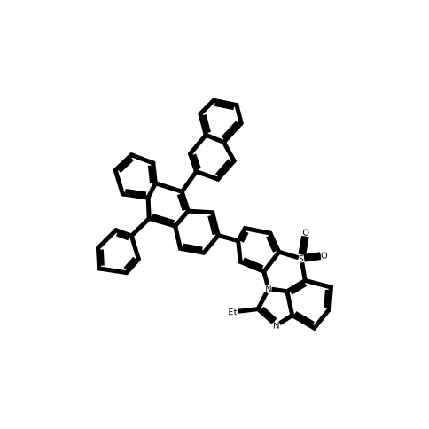 CCc1nc2cccc3c2n1-c1cc(-c2ccc4c(-c5ccccc5)c5ccccc5c(-c5ccc6ccccc6c5)c4c2)ccc1S3(=O)=O